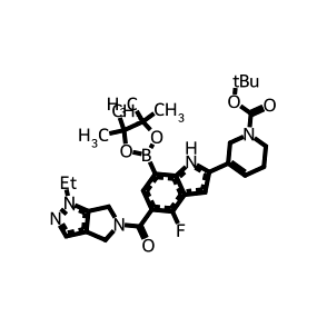 CCn1ncc2c1CN(C(=O)c1cc(B3OC(C)(C)C(C)(C)O3)c3[nH]c(C4=CCCN(C(=O)OC(C)(C)C)C4)cc3c1F)C2